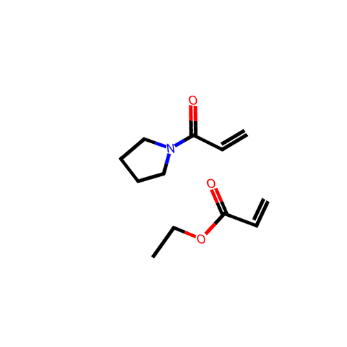 C=CC(=O)N1CCCC1.C=CC(=O)OCC